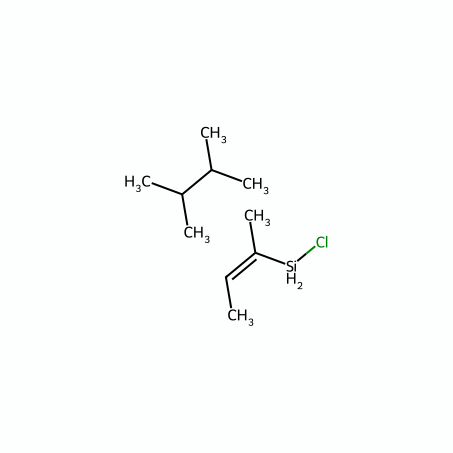 C/C=C(/C)[SiH2]Cl.CC(C)C(C)C